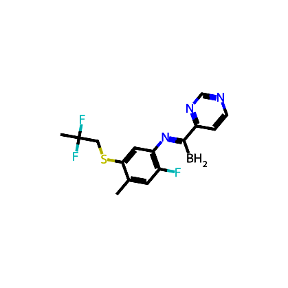 B/C(=N\c1cc(SCC(C)(F)F)c(C)cc1F)c1ccncn1